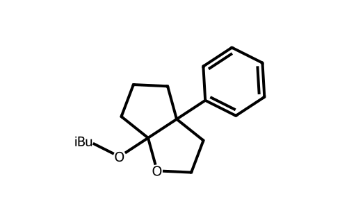 CCC(C)OC12CCCC1(c1ccccc1)CCO2